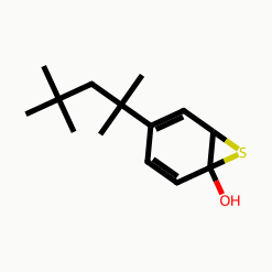 CC(C)(C)CC(C)(C)C1=CC2SC2(O)C=C1